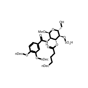 CCCCCCCCCCCCCC(=O)O[C@@H]1[C@@H](NC(=O)c2ccc(OCCCCCCCCCC)c(OCCCCCCCCCC)c2)[C@@H](OC)O[C@H](CO)[C@H]1OS(=O)(=O)O